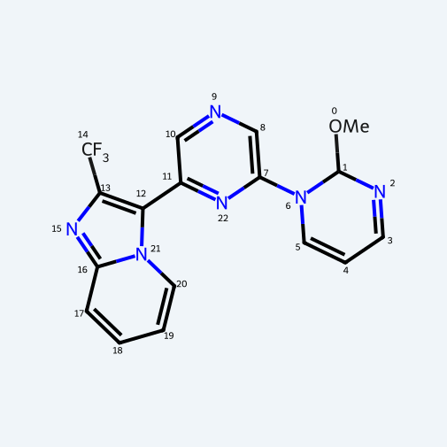 COC1N=CC=CN1c1cncc(-c2c(C(F)(F)F)nc3ccccn23)n1